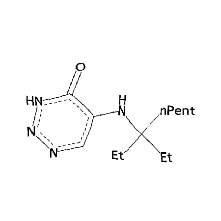 CCCCCC(CC)(CC)Nc1cnn[nH]c1=O